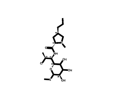 CCC[C@@H]1C[C@@H](C(=O)N[C@H]([C@H](C)Cl)[C@H]2OC(SC)[C@H](O)C(O)C2O)N(C)C1